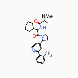 CNC(C)C(=O)NC(C(=O)N1CCCC1c1ccnc(-c2ccccc2C(F)(F)F)c1)C1CCCCC1